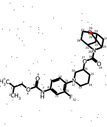 CC(C)COC(=O)Nc1ccc(N2CCCC(OC(=O)N3C4CC5CC3CC(C4)O5)C2)c(F)c1